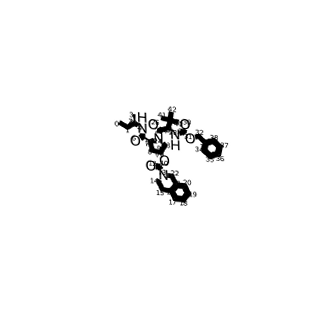 CC[C@@H](C)NC(=O)[C@@H]1C[C@@H](OC(=O)N2CCc3ccccc3C2)CN1C(=O)[C@@H](NC(=O)OCc1ccccc1)C(C)(C)C